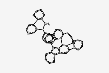 CC[C@@H](c1ccc(-n2c3ccccc3c3cc4c5c(c32)-c2c(ccc3ccccc23)C(CC5)c2ccccc2-4)nc1)c1cnccc1-c1ccccc1C